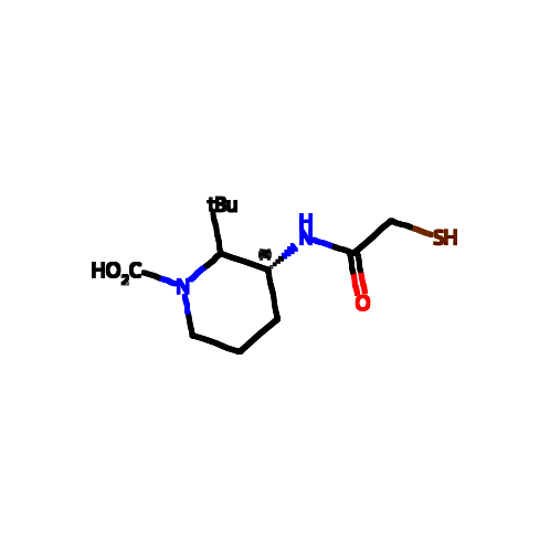 CC(C)(C)C1[C@H](NC(=O)CS)CCCN1C(=O)O